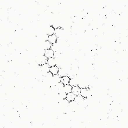 CC(=O)c1ccc(N2CCN(C(C)c3ccc(-c4ccc(C(/C=C(/C)CO)=C5\C=CC=CC5)nc4)cc3)CC2)cc1